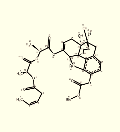 C/C=C\CC(=O)O[C@@H](C)C(=O)O[C@@H](C)C(=O)OC1=CC[C@@]2(O)[C@H]3Cc4ccc(OC(=O)OC(C)(C)C)c5c4[C@@]2(CCN3C)[C@H]1O5